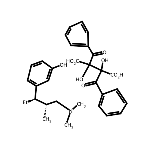 CC[C@@H](c1cccc(O)c1)[C@@H](C)CN(C)C.O=C(O)C(O)(C(=O)c1ccccc1)C(O)(C(=O)O)C(=O)c1ccccc1